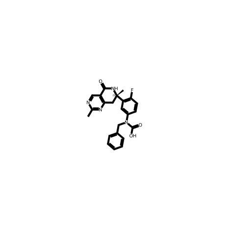 Cc1ncc2c(n1)C[C@@](C)(c1cc(N(Cc3ccccc3)C(=O)O)ccc1F)NC2=O